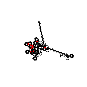 CCCCCCCCCCCCCCCC(=O)O[C@H](COC(=O)CCCCCCCCCCCNCC(=O)c1ccccc1)COP(=O)(OCc1ccccc1)OC1C(OCc2ccccc2)C(OP(=O)(OCc2ccccc2)OCc2ccccc2)C(OP(=O)(OCc2ccccc2)OCc2ccccc2)C(OP(=O)(OCc2ccccc2)OCc2ccccc2)C1OCc1ccccc1